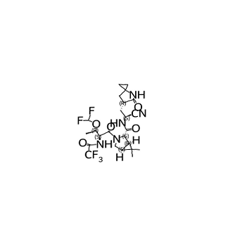 C[C@@H](OC(F)F)[C@H](NC(=O)C(F)(F)F)C(=O)N1C[C@H]2[C@@H]([C@H]1C(=O)N[C@H](C#N)C[C@@H]1CC3(CC3)NC1=O)C2(C)C